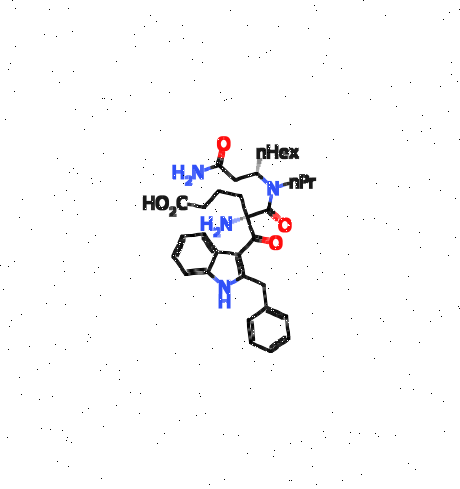 CCCCCC[C@@H](CC(N)=O)N(CCC)C(=O)[C@](N)(CCCC(=O)O)C(=O)c1c(Cc2ccccc2)[nH]c2ccccc12